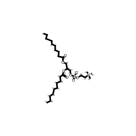 CCCCCCCCCC(=O)OCC(COP(=O)([O-])OCC[N+](C)(C)C)OC(=O)CCCCCCCCC